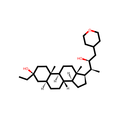 CC[C@]1(O)CC[C@@]2(C)[C@@H](CC[C@@H]3[C@@H]2CC[C@]2(C)[C@@H]([C@H](C)[C@@H](O)CC4CCOCC4)CC[C@@H]32)C1